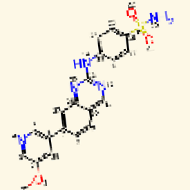 COc1cncc(-c2ccc3cnc(Nc4ccc(S(N)(=O)=O)cc4)nc3c2)c1